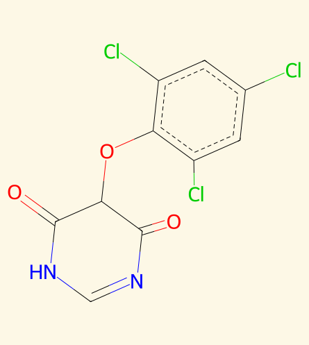 O=C1N=CNC(=O)C1Oc1c(Cl)cc(Cl)cc1Cl